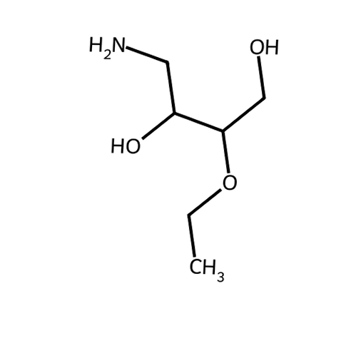 CCOC(CO)C(O)CN